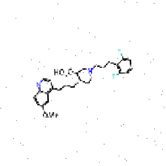 COc1ccc2nccc(CCC[C@@H]3CCN(CCCc4c(F)cccc4F)C[C@@H]3C(=O)O)c2c1